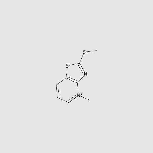 CSc1nc2c(ccc[n+]2C)s1